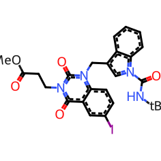 COC(=O)CCn1c(=O)c2cc(I)ccc2n(Cc2cn(C(=O)NC(C)(C)C)c3ccccc23)c1=O